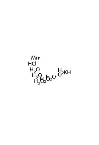 Cl.O.O.O.O.O.O.[KH].[Mn]